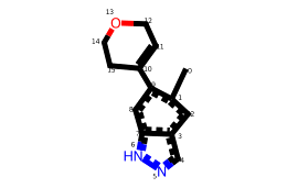 Cc1cc2cn[nH]c2cc1C1=CCOCC1